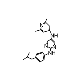 Cc1cc(Nc2cnc(Nc3ccc(CC(C)C)cc3)nc2)cc(C)n1